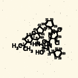 CC(C)c1ccc2c(c1)[C@@H](NC[C@@H](O)[C@H](Cc1ccccc1)NC(=O)c1nn(-c3ccccc3)c(=O)cc1Cl)CC1(CCCC1)O2